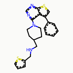 c1ccc(-c2csc3ncnc(N4CCC(CNCc5cccs5)CC4)c23)cc1